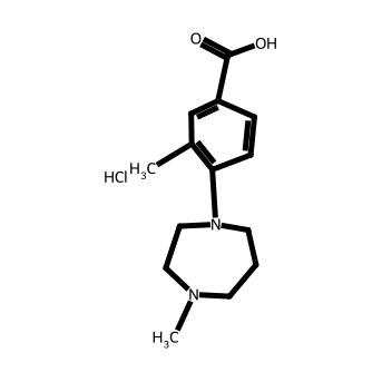 Cc1cc(C(=O)O)ccc1N1CCCN(C)CC1.Cl